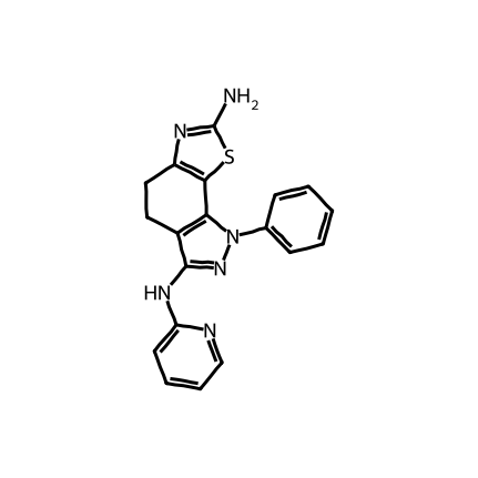 Nc1nc2c(s1)-c1c(c(Nc3ccccn3)nn1-c1ccccc1)CC2